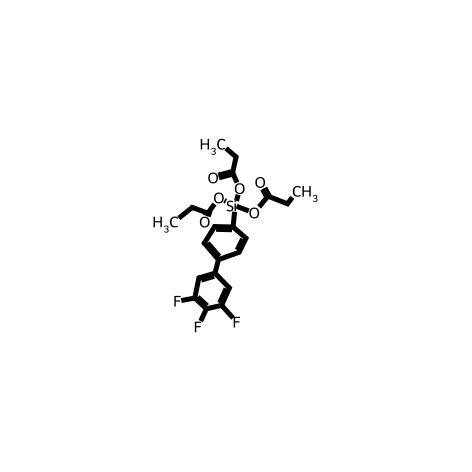 CCC(=O)O[Si](OC(=O)CC)(OC(=O)CC)c1ccc(-c2cc(F)c(F)c(F)c2)cc1